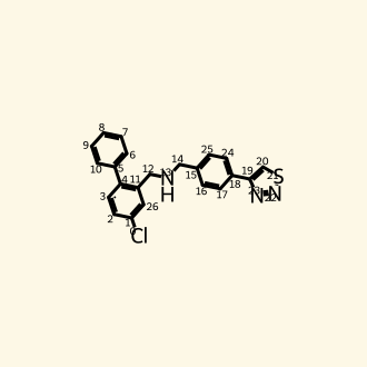 Clc1c[c]c(-c2ccccc2)c(CNCc2ccc(-c3csnn3)cc2)c1